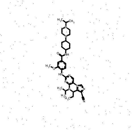 CCC1c2c(C#N)ncn2-c2cnc(Nc3ccc(C(=O)NC4CCC(N5CCN(C(C)C)CC5)CC4)cc3OC)nc2N1C(C)C